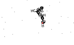 C#Cc1cc2cnc(Nc3ccc(C4CNCCO4)cc3)nc2n(C2CSc3ccccc3C2=O)c1=O